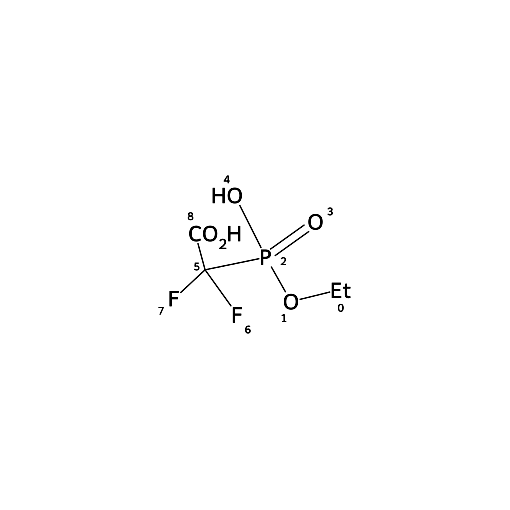 CCOP(=O)(O)C(F)(F)C(=O)O